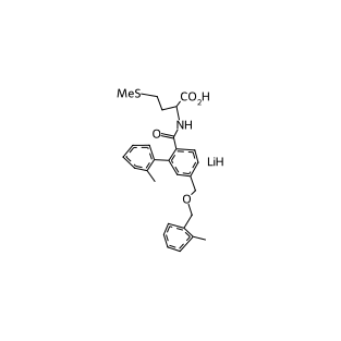 CSCCC(NC(=O)c1ccc(COCc2ccccc2C)cc1-c1ccccc1C)C(=O)O.[LiH]